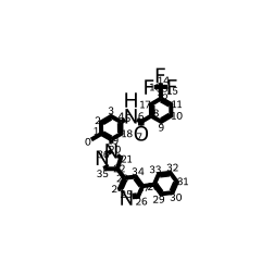 Cc1ccc(NC(=O)c2cccc(C(F)(F)F)c2)cc1N1CC(c2cncc(-c3ccccc3)c2)C=N1